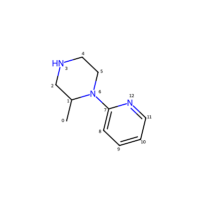 CC1CNCCN1c1ccccn1